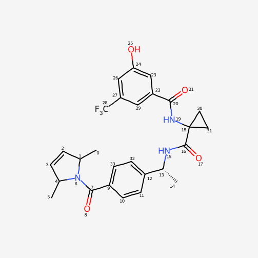 CC1C=CC(C)N1C(=O)c1ccc([C@@H](C)NC(=O)C2(NC(=O)c3cc(O)cc(C(F)(F)F)c3)CC2)cc1